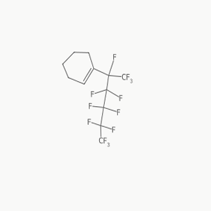 FC(F)(F)C(F)(F)C(F)(F)C(F)(F)C(F)(C1=CCCCC1)C(F)(F)F